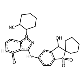 N#CC1CCCCC1n1nc(Nc2ccc3c(c2)C(O)C2(CCCCC2)S3(=O)=O)c2c(=O)[nH]ccc21